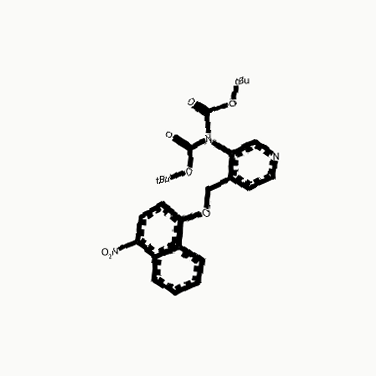 CC(C)(C)OC(=O)N(C(=O)OC(C)(C)C)c1cnccc1COc1ccc([N+](=O)[O-])c2ccccc12